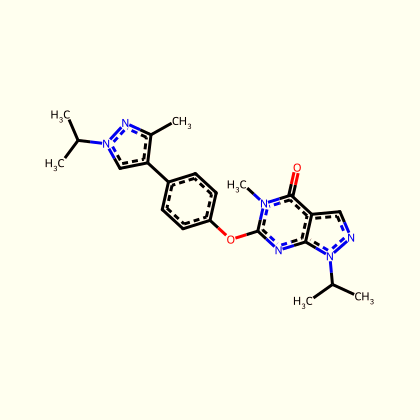 Cc1nn(C(C)C)cc1-c1ccc(Oc2nc3c(cnn3C(C)C)c(=O)n2C)cc1